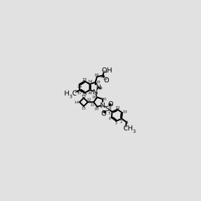 CCc1ccc(S(=O)(=O)N2CC(C3CCC3)[C@@H](n3nc(CC(=O)O)c4ccc(C)cc43)C2)cc1